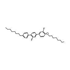 CCCCCCCCOc1ccc(-c2ccc(-c3ccc(CCCCCCCC)cc3)c(F)c2)cc1F